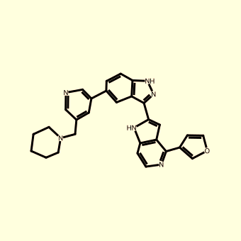 c1cc2[nH]c(-c3n[nH]c4ccc(-c5cncc(CN6CCCCC6)c5)cc34)cc2c(-c2ccoc2)n1